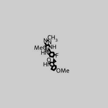 COc1ccc2c(c1)C1(C[C@H]1c1cc3[nH]nc(Nc4nc(C)ncc4OC)c3cc1F)C(=O)N2